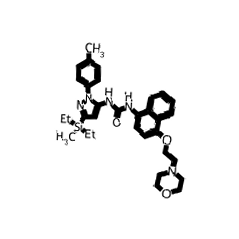 CC[Si](C)(CC)c1cc(NC(=O)Nc2ccc(OCCN3CCOCC3)c3ccccc23)n(-c2ccc(C)cc2)n1